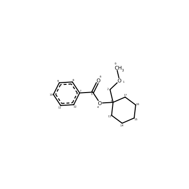 COCC1(OC(=O)c2ccccc2)CCCCC1